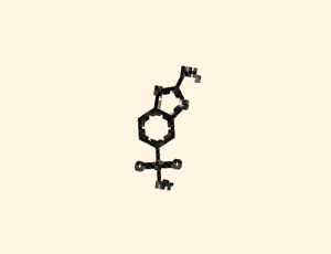 CCCS(=O)(=O)c1ccc2nc(N)sc2c1